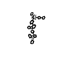 c1ccc(-c2ccc(-c3nc(-c4ccccc4)nc(-c4cccc(-c5cccc6c5c5ccccc5n6-c5ccc(-c6cccc7c6c6ccccc6n7-c6ccccc6)cc5)c4)n3)cc2)cc1